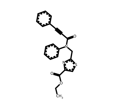 CCOC(=O)c1csc(CN(C(=O)C#Cc2ccccc2)c2ccccc2)n1